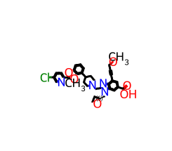 COCC#Cc1cc(C(=O)O)cc2c1nc(CN1CCC(c3cccc4c3OC(C)(c3ccc(Cl)cn3)O4)CC1)n2C[C@@H]1CCO1